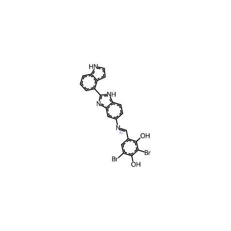 Oc1c(Br)cc(/C=N/c2ccc3[nH]c(-c4cccc5[nH]ccc45)nc3c2)c(O)c1Br